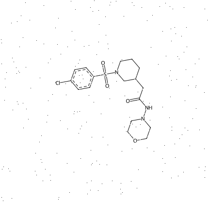 O=C(CC1CCCN(S(=O)(=O)c2ccc(Cl)cc2)C1)NN1CCOCC1